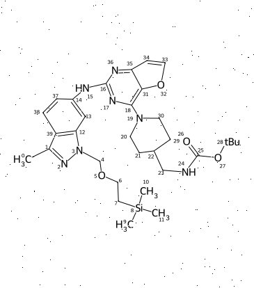 Cc1nn(COCC[Si](C)(C)C)c2cc(Nc3nc(N4CCC(CNC(=O)OC(C)(C)C)CC4)c4occc4n3)ccc12